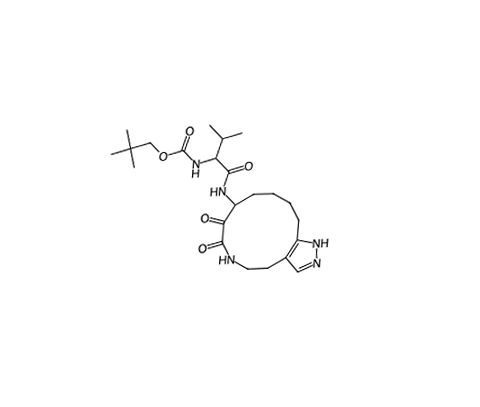 CC(C)C(NC(=O)OCC(C)(C)C)C(=O)NC1CCCCc2[nH]ncc2CCNC(=O)C1=O